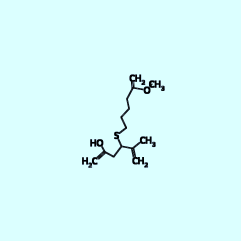 C=C(O)CC(SCCCCC(=C)OC)C(=C)C